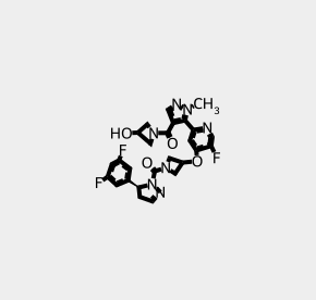 Cn1ncc(C(=O)N2CC(O)C2)c1-c1cc(OC2CN(C(=O)N3N=CC[C@H]3c3cc(F)cc(F)c3)C2)c(F)cn1